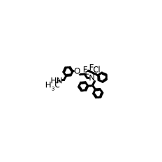 CNCc1cccc(OCCCN(CC(c2ccccc2)c2ccccc2)C(Cl)(c2ccccc2)C(F)(F)F)c1